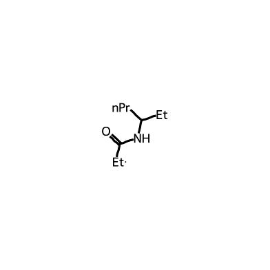 C[CH]C(=O)NC(CC)CCC